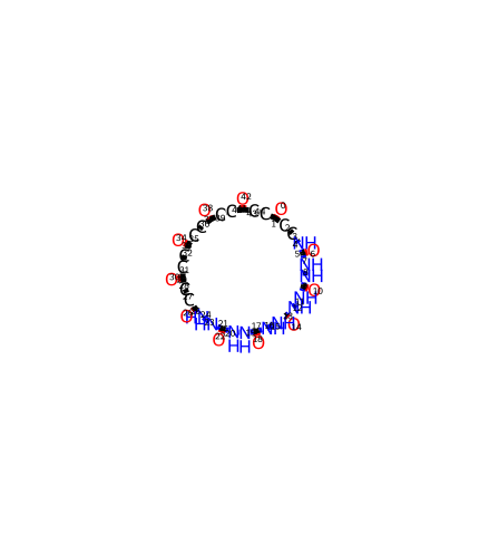 O=C1CCNC(=O)NNC(=O)NNC(=O)NNC(=O)NNC(=O)NNC(=O)CCC(=O)CCC(=O)CCC(=O)CCC(=O)CC1